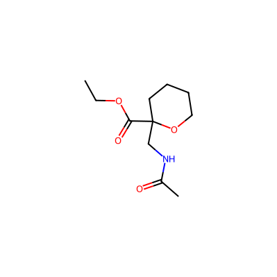 CCOC(=O)C1(CNC(C)=O)CCCCO1